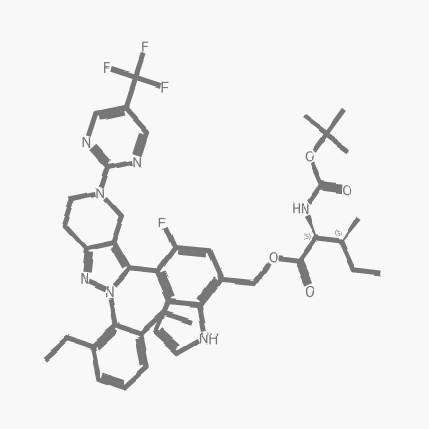 CCc1cccc(CC)c1-n1nc2c(c1-c1c(F)cc(COC(=O)[C@@H](NC(=O)OC(C)(C)C)[C@@H](C)CC)c3[nH]ccc13)CN(c1ncc(C(F)(F)F)cn1)CC2